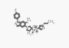 CCCn1cc(S(=O)(=O)N(C)C2(C)CCN(c3cc4cnn(-c5ccc(F)cc5)c4cc3C)C2)cn1